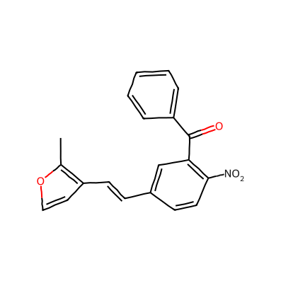 Cc1occc1/C=C/c1ccc([N+](=O)[O-])c(C(=O)c2ccccc2)c1